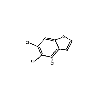 Clc1cc2s[c]cc2c(Cl)c1Cl